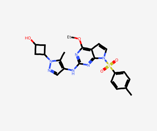 CCOc1nc(Nc2cnn(C3CC(O)C3)c2C)nc2c1ccn2S(=O)(=O)c1ccc(C)cc1